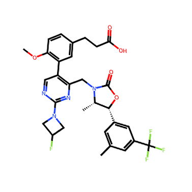 COc1ccc(CCC(=O)O)cc1-c1cnc(N2CC(F)C2)nc1CN1C(=O)O[C@H](c2cc(C)cc(C(F)(F)F)c2)[C@@H]1C